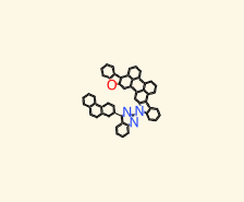 c1ccc2c(c1)ccc1cc(-c3nc(-n4c5ccccc5c5c6cccc7c8cccc9c%10c(cc(c(cc54)c76)c89)oc4ccccc4%10)nc4ccccc34)ccc12